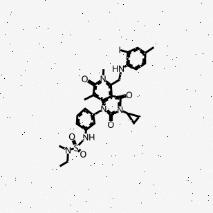 CCN(C)S(=O)(=O)Nc1cccc(-n2c(=O)n(C3CC3)c(=O)c3c(CNc4ccc(C)cc4I)n(C)c(=O)c(C)c32)c1